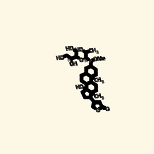 CON(C1CCC2(C)C(CCC3C2CCC2(C)C(C4=CC(=O)OC4)CCC32O)C1)[C@H](OC(CO)[C@@H](O)CO)C(C)O